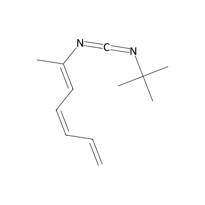 C=C/C=C\C=C(/C)N=C=NC(C)(C)C